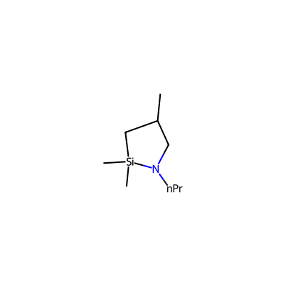 CCCN1CC(C)C[Si]1(C)C